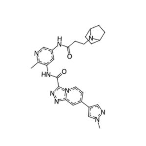 Cc1ncc(NC(=O)CCN2C3CCC2CC3)cc1NC(=O)c1nnc2cc(-c3cnn(C)c3)ccn12